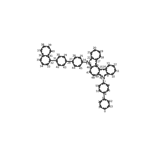 c1ccc(-c2ccc(-n3c4ccccc4c4c5c6ccccc6n(-c6ccc(-c7ccc(-c8cccc9ccccc89)cc7)cc6)c5ccc43)cc2)cc1